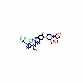 Cc1cc2cnc(Nc3cnn(C4CC4(F)F)c3Cl)nc2cc1C1CCN(C2COC[C@@H]2O)CC1